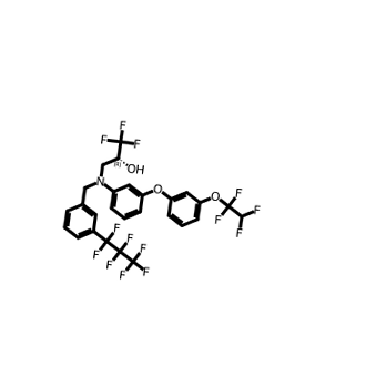 O[C@H](CN(Cc1cccc(C(F)(F)C(F)(F)C(F)(F)F)c1)c1cccc(Oc2cccc(OC(F)(F)C(F)F)c2)c1)C(F)(F)F